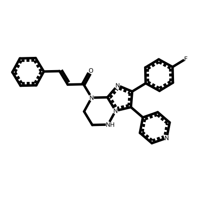 O=C(C=Cc1ccccc1)N1CCNn2c1nc(-c1ccc(F)cc1)c2-c1ccncc1